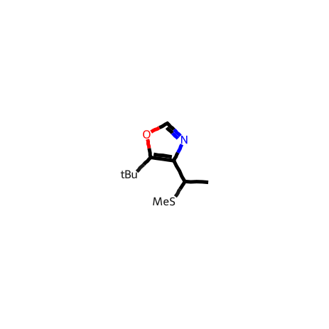 CSC(C)c1ncoc1C(C)(C)C